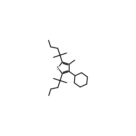 CCCC(C)(C)c1sc(C(C)(C)CCC)c(C2CCCCC2)c1C